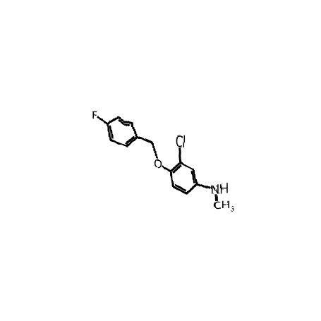 CNc1ccc(OCc2ccc(F)cc2)c(Cl)c1